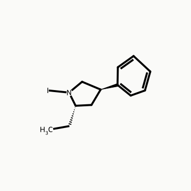 CC[C@H]1C[C@H](c2ccccc2)CN1I